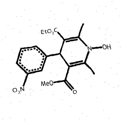 CCOC(=O)C1=C(C)N(O)C(C)=C(C(=O)OC)C1c1cccc([N+](=O)[O-])c1